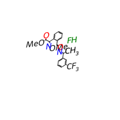 CO/N=C(/C(=O)OC)c1ccccc1CO/N=C(\C)c1cccc(C(F)(F)F)c1.F